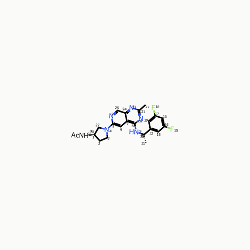 CC(=O)N[C@@H]1CCN(c2cc3c(N[C@@H](C)c4cc(F)cc(F)c4)nc(C)nc3cn2)C1